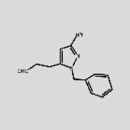 CCCc1cc(CCC=O)n(Cc2ccccc2)n1